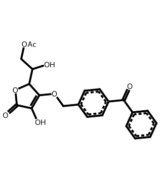 CC(=O)OCC(O)C1OC(=O)C(O)=C1OCc1ccc(C(=O)c2ccccc2)cc1